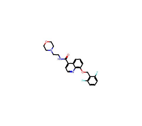 O=C(NCCN1CCOCC1)c1ccnc2c(OCc3c(F)cccc3F)cccc12